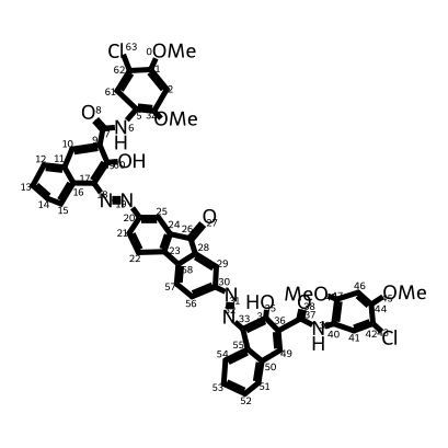 COc1cc(OC)c(NC(=O)c2cc3ccccc3c(/N=N/c3ccc4c(c3)C(=O)c3cc(/N=N/c5c(O)c(C(=O)Nc6cc(Cl)c(OC)cc6OC)cc6ccccc56)ccc3-4)c2O)cc1Cl